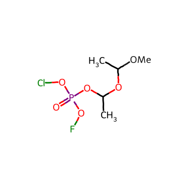 COC(C)OC(C)OP(=O)(OF)OCl